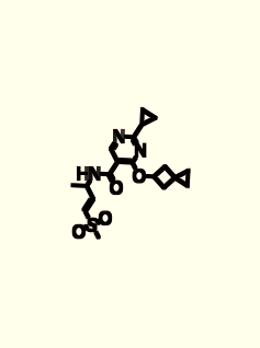 CC(C=CS(C)(=O)=O)NC(=O)c1cnc(C2CC2)nc1OC1CC2(CC2)C1